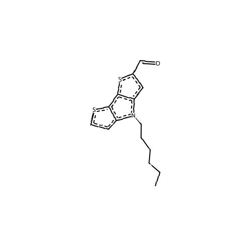 CCCCCCn1c2ccsc2c2sc(C=O)cc21